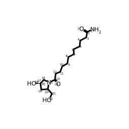 NC(=O)CCCCCCCCCCC(=O)N1C[C@H](O)CC1CO